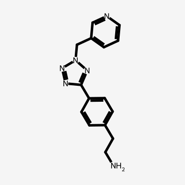 NCCc1ccc(-c2nnn(Cc3cccnc3)n2)cc1